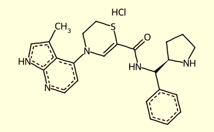 Cc1c[nH]c2nccc(N3C=C(C(=O)NC(c4ccccc4)[C@H]4CCCN4)SCC3)c12.Cl